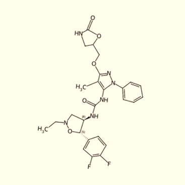 CCN1C[C@@H](NC(=O)Nc2c(C)c(OCC3CNC(=O)O3)nn2-c2ccccc2)[C@H](c2ccc(F)c(F)c2)O1